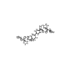 CC(C)(C)OC(=O)N1CCC[C@H]1C(=O)Nc1ccc(-c2ccc(NC(=O)[C@@H]3CCCN3C(=O)OC(C)(C)C)cc2)cc1